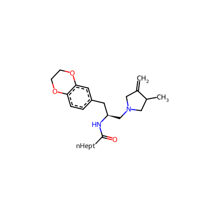 C=C1CN(C[C@H](Cc2ccc3c(c2)OCCO3)NC(=O)CCCCCCC)CC1C